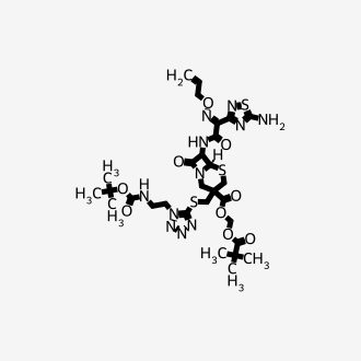 C=CCON=C(C(=O)NC1C(=O)N2CC(CSc3nnnn3CCNC(=O)OC(C)(C)C)(C(=O)OCOC(=O)C(C)(C)C)CS[C@H]12)c1nsc(N)n1